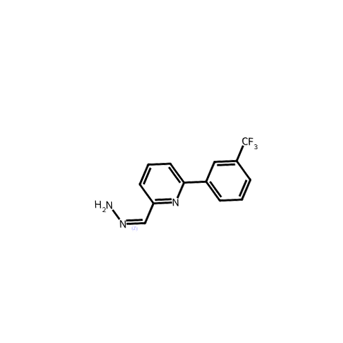 N/N=C\c1cccc(-c2cccc(C(F)(F)F)c2)n1